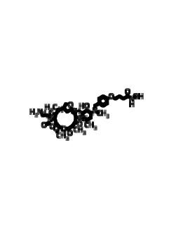 C=C1[C@@H]2CO[C@](C)(C2)[C@H](C[C@@H]2O[C@H](C)C[C@H](N(C)Cc3ccc(OCCCC(=O)NO)cc3)[C@H]2O)[C@@H](C)C(=O)[C@@H](C)C(=O)O[C@H](CC)[C@@]2(C)OC(=O)N(CCN)[C@@H]2[C@H]1C